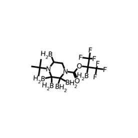 BC1CN(C(=O)OC(B)(C(F)(F)F)C(F)(F)F)C(B)(B)C(B)(B)N1C(C)(C)C